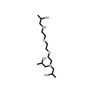 CC(O)CNCCOCCOCCN(CC(C)O)CC(C)O